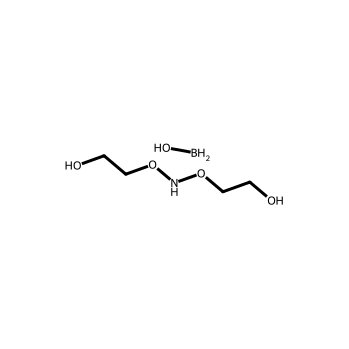 BO.OCCONOCCO